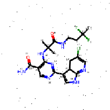 CCC(F)(F)CCNC(=O)C(C)(C)Nc1nc(C2=CNC3=NC=C(Cl)CC23)ncc1C(N)=O